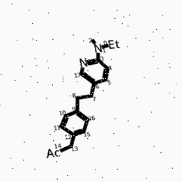 CCN(C)c1ccc(CCc2ccc(CC(C)=O)cc2)cn1